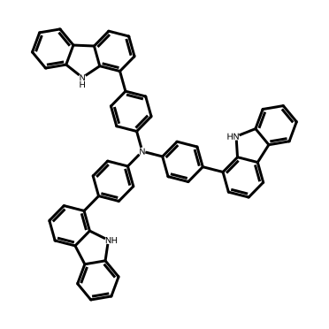 c1ccc2c(c1)[nH]c1c(-c3ccc(N(c4ccc(-c5cccc6c5[nH]c5ccccc56)cc4)c4ccc(-c5cccc6c5[nH]c5ccccc56)cc4)cc3)cccc12